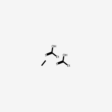 CC.CCC(O)=S.CCC(O)=S